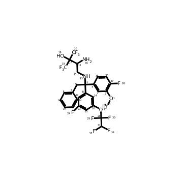 CC(C)Oc1cc(C(Cc2ccccc2)(NCC(N)C(O)(C(F)(F)F)C(F)(F)F)c2cc(F)cc(OC(F)(F)C(F)F)c2)ccc1F